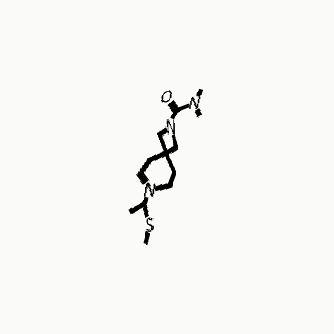 CSC(C)N1CCC2(CC1)CN(C(=O)N(C)C)C2